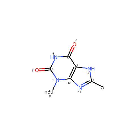 CCCCn1c(=O)[nH]c(=O)c2[nH]c(C)nc21